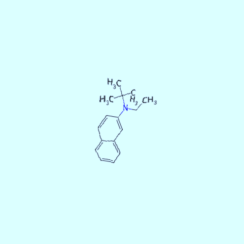 CCN(c1ccc2ccccc2c1)C(C)(C)C